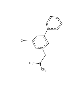 CN(C)Cc1cc(Cl)cc(-c2ccccc2)c1